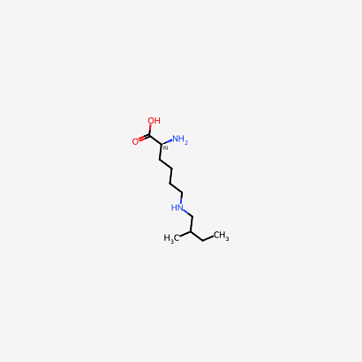 CCC(C)CNCCCC[C@H](N)C(=O)O